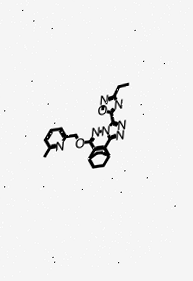 CCc1noc(-c2nnc3c4c(c(OCc5cccc(C)n5)nn23)C2CCC4CC2)n1